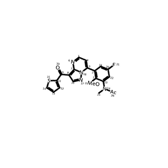 COc1c(-c2ccnc3c(C(=O)c4cccs4)cnn23)cc(F)cc1N(C)C(C)=O